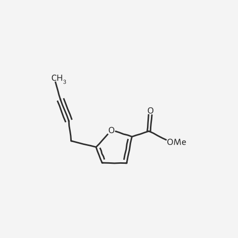 CC#CCc1ccc(C(=O)OC)o1